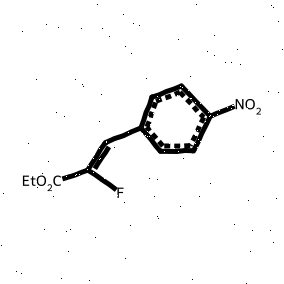 CCOC(=O)/C(F)=C/c1ccc([N+](=O)[O-])cc1